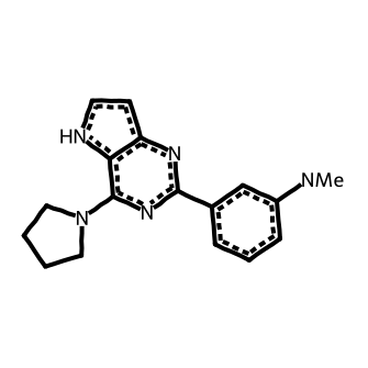 CNc1cccc(-c2nc(N3CCCC3)c3[nH]ccc3n2)c1